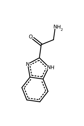 NCC(=O)c1nc2ccccc2[nH]1